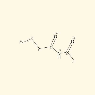 [CH2]CCC(=O)NC(C)=O